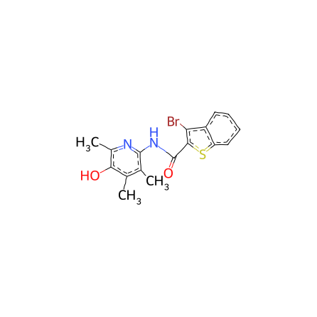 Cc1nc(NC(=O)c2sc3ccccc3c2Br)c(C)c(C)c1O